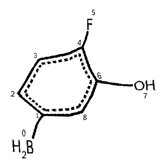 Bc1ccc(F)c(O)c1